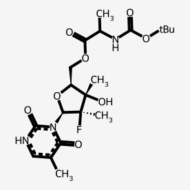 Cc1c[nH]c(=O)n([C@H]2O[C@@H](COC(=O)C(C)NC(=O)OC(C)(C)C)[C@](C)(O)[C@@]2(C)F)c1=O